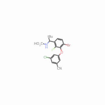 CC(C)(C)C(NC(=O)O)c1ccc(Br)c(Oc2cc(Cl)cc(C#N)c2)c1F